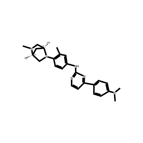 Cc1cc(Nc2nccc(-c3ccc(N(C)C)cc3)n2)ccc1N1C[C@@H]2C[C@H]1CN2C